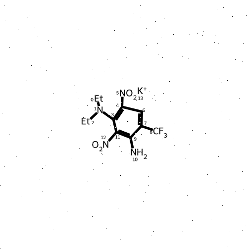 CCN(CC)c1c([N+](=O)[O-])cc(C(F)(F)F)c(N)c1[N+](=O)[O-].[K+]